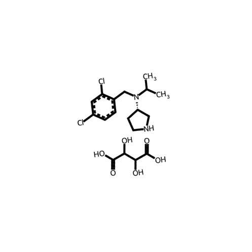 CC(C)N(Cc1ccc(Cl)cc1Cl)[C@H]1CCNC1.O=C(O)C(O)C(O)C(=O)O